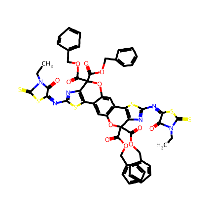 CCN1C(=O)/C(=N\c2nc3c(s2)-c2cc4c(cc2OC3(C(=O)OCc2ccccc2)C(=O)OCc2ccccc2)-c2sc(/N=C3/SC(=S)N(CC)C3=O)nc2C(C(=O)OCc2ccccc2)(C(=O)OCc2ccccc2)O4)SC1=S